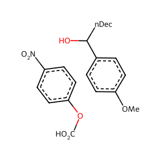 CCCCCCCCCCC(O)c1ccc(OC)cc1.O=C(O)Oc1ccc([N+](=O)[O-])cc1